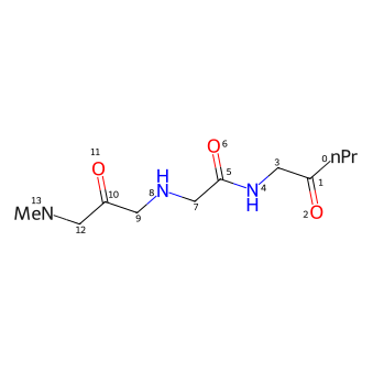 CCCC(=O)CNC(=O)CNCC(=O)CNC